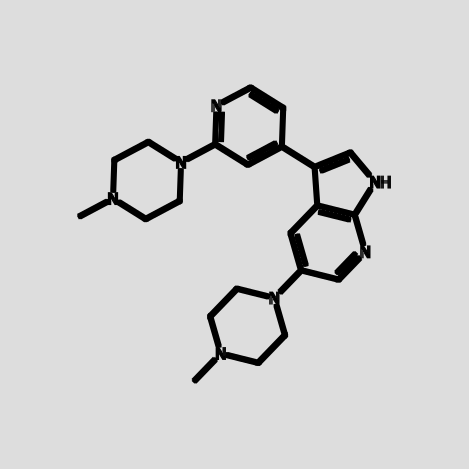 CN1CCN(c2cnc3[nH]cc(-c4ccnc(N5CCN(C)CC5)c4)c3c2)CC1